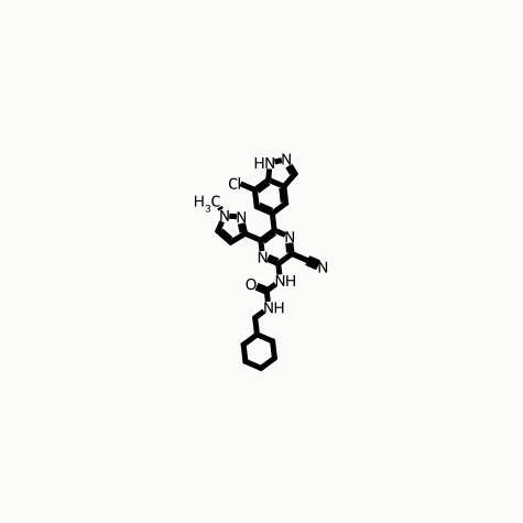 Cn1ccc(-c2nc(NC(=O)NCC3CCCCC3)c(C#N)nc2-c2cc(Cl)c3[nH]ncc3c2)n1